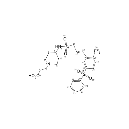 O=C(O)CCN1CCC(NS(=O)(=O)CC=Cc2cc(S(=O)(=O)c3ccccc3)ccc2C(F)(F)F)CC1